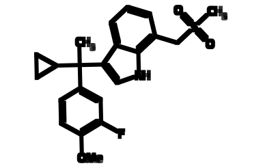 COc1ccc(C(C)(c2c[nH]c3c(CS(C)(=O)=O)cccc23)C2CC2)cc1F